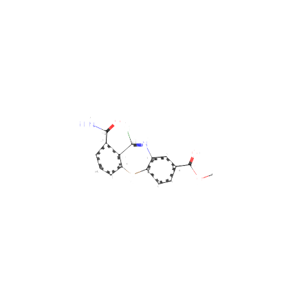 COC(=O)c1ccc2c(c1)N=C(Cl)c1c(cccc1C(N)=O)S2